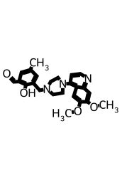 COc1cc2nccc(N3CCN(Cc4cc(C)cc(C=O)c4O)CC3)c2cc1OC